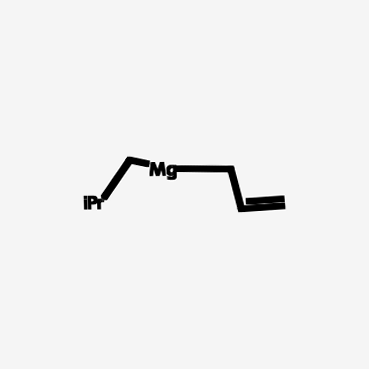 C=C[CH2][Mg][CH2]C(C)C